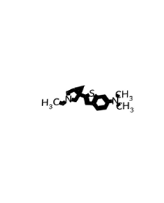 CCN1CC2CC2(c2cc3ccc(N(C)C)cc3s2)C1